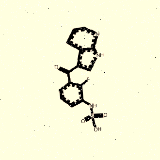 O=C(c1cccc(NS(=O)(=O)O)c1F)c1c[nH]c2ncccc12